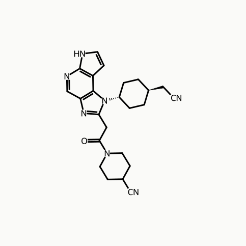 N#CC[C@H]1CC[C@H](n2c(CC(=O)N3CCC(C#N)CC3)nc3cnc4[nH]ccc4c32)CC1